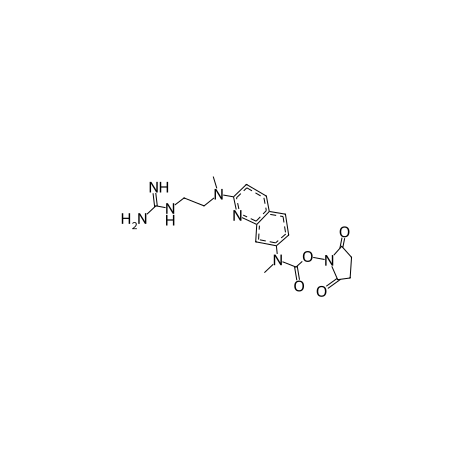 CN(CCNC(=N)N)c1ccc2ccc(N(C)C(=O)ON3C(=O)CCC3=O)cc2n1